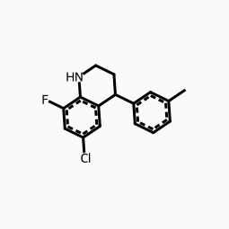 Cc1cccc(C2CCNc3c(F)cc(Cl)cc32)c1